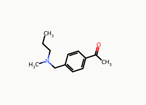 CCCN(C)Cc1ccc(C(C)=O)cc1